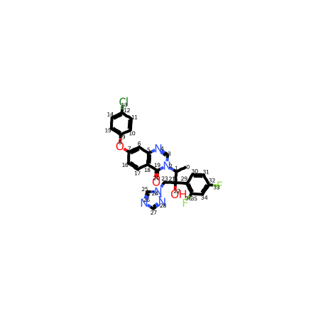 CC(n1cnc2cc(Oc3ccc(Cl)cc3)ccc2c1=O)C(O)(Cn1cncn1)c1ccc(F)cc1F